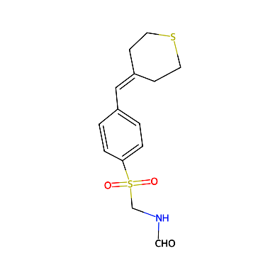 O=CNCS(=O)(=O)c1ccc(C=C2CCSCC2)cc1